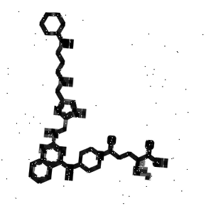 N[C@@H](CCC(=O)N1CCC(Nc2nc(NCc3nc(CNCCCNC4CCCCC4)c[nH]3)nc3ccccc23)CC1)C(=O)O